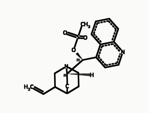 C=CC1CN2CCC1C[C@@H]2[C@H](OS(C)(=O)=O)c1ccnc2ccccc12